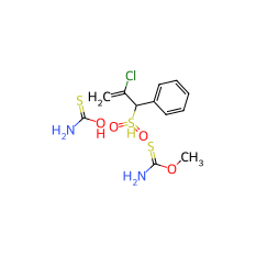 C=C(Cl)C(c1ccccc1)[SH](=O)=O.COC(N)=S.NC(O)=S